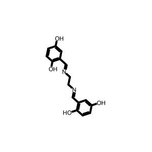 Oc1ccc(O)c(C=NCCN=Cc2cc(O)ccc2O)c1